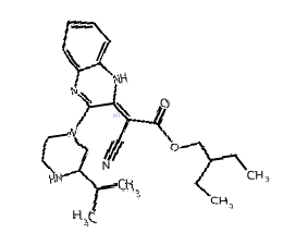 CCC(CC)COC(=O)/C(C#N)=C1\Nc2ccccc2N=C1N1CCNC(C(C)C)C1